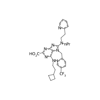 CCCN(CCc1ccccn1)c1nc2nc(C(=O)O)nc(NCCC3CCC3)c2n1Cc1ccc(C(F)(F)F)cc1